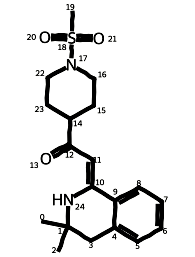 CC1(C)Cc2ccccc2/C(=C/C(=O)C2CCN(S(C)(=O)=O)CC2)N1